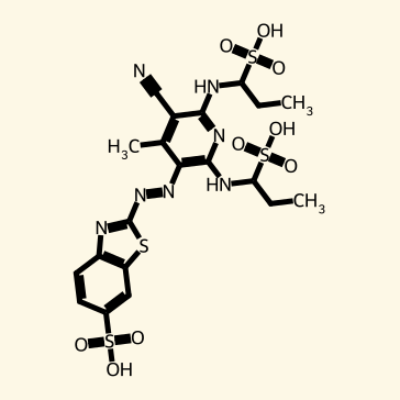 CCC(Nc1nc(NC(CC)S(=O)(=O)O)c(N=Nc2nc3ccc(S(=O)(=O)O)cc3s2)c(C)c1C#N)S(=O)(=O)O